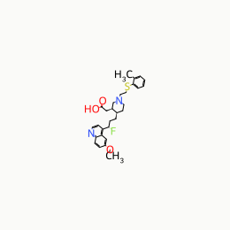 COc1ccc2nccc([C@@H](F)CC[C@@H]3CCN(CCSc4ccccc4C)C[C@@H]3CC(=O)O)c2c1